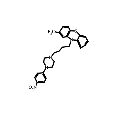 O=[N+]([O-])c1ccc(N2CCN(CCCCN3c4ccccc4Sc4ccc(C(F)(F)F)cc43)CC2)cc1